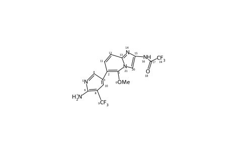 COc1c(-c2cnc(N)c(C(F)(F)F)c2)ccc2nc(NC(=O)C(F)(F)F)cn12